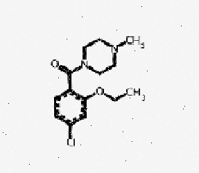 CCOc1cc(Cl)ccc1C(=O)N1CCN(C)CC1